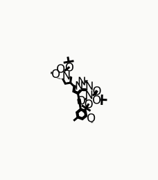 COC[C@H]1CC(c2cc(C#Cc3cc(C)cc(OC)c3)c3c(N(C(=O)OC(C)(C)C)C(=O)OC(C)(C)C)ncnn23)CN1C(=O)OC(C)(C)C